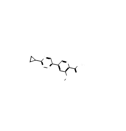 CCSc1cc(-c2cnc(C3CC3)nn2)cnc1C(=O)OC